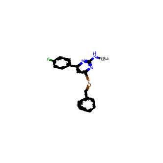 CC(C)(C)Nc1nc(SCc2ccccc2)cc(-c2ccc(F)cc2)n1